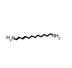 NC=CC=CCCCCCCCCN